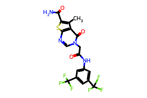 Cc1c(C(N)=O)sc2ncn(CC(=O)Nc3cc(C(F)(F)F)cc(C(F)(F)F)c3)c(=O)c12